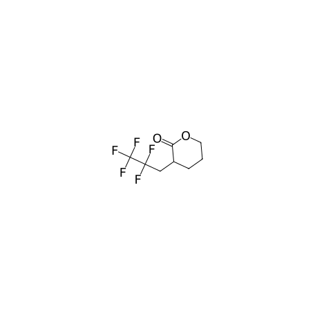 O=C1OCCCC1CC(F)(F)C(F)(F)F